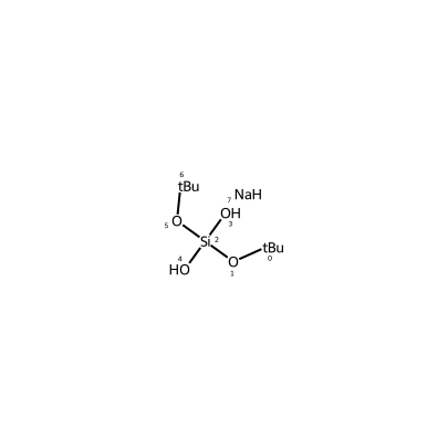 CC(C)(C)O[Si](O)(O)OC(C)(C)C.[NaH]